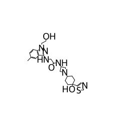 Cc1ccc2c(c1)c(NCC(=O)NC1CN(C3CCC(O)(c4cncs4)CC3)C1)nn2CCO